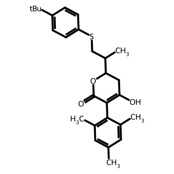 Cc1cc(C)c(C2=C(O)CC(C(C)CSc3ccc(C(C)(C)C)cc3)OC2=O)c(C)c1